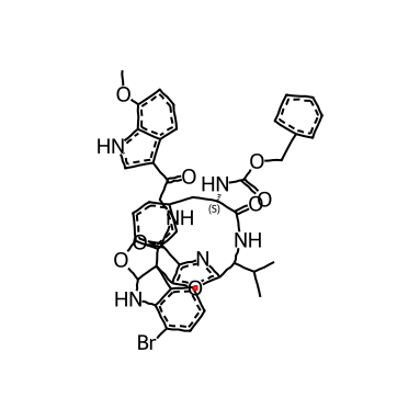 COc1cccc2c(C(=O)CNC(=O)c3nc4oc3C35c6cc(ccc6OC3Nc3c(Br)cccc35)C[C@H](NC(=O)OCc3ccccc3)C(=O)NC4C(C)C)c[nH]c12